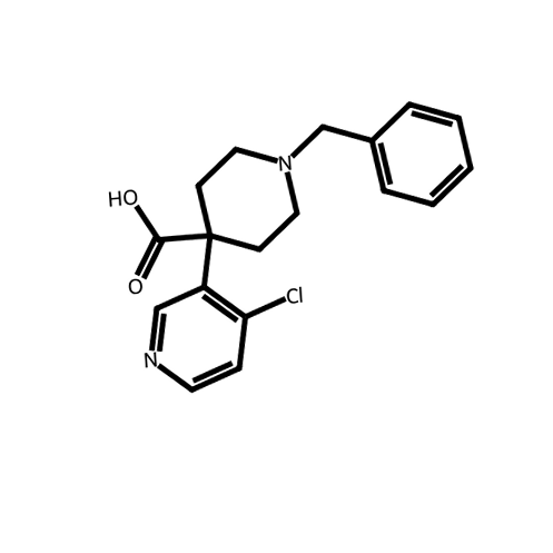 O=C(O)C1(c2cnccc2Cl)CCN(Cc2ccccc2)CC1